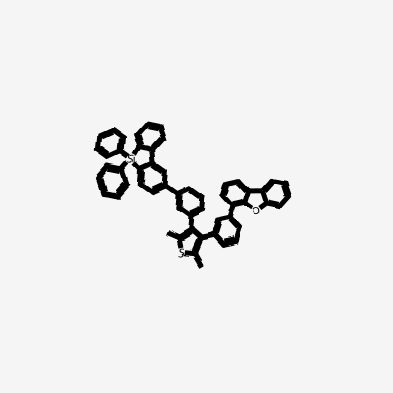 Cc1sc(C)c(-c2cccc(-c3cccc4c3oc3ccccc34)c2)c1-c1cccc(-c2ccc3c(c2)-c2ccccc2[Si]3(c2ccccc2)c2ccccc2)c1